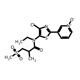 CCN(C(=O)C(C)CS(C)(=O)=O)c1sc(-c2ccc[n+]([O-])c2)nc1Cl